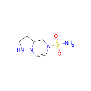 NS(=O)(=O)N1C=CN2NCCC2C1